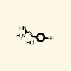 CC(C)c1ccc(CSC(=N)N)cc1.Cl